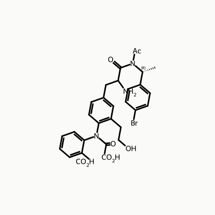 CC(=O)N(C(=O)C(N)Cc1ccc(N(C(=O)C(=O)O)c2ccccc2C(=O)O)c(CCO)c1)[C@H](C)c1ccc(Br)cc1